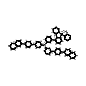 CC1(c2ccccc2)c2ccccc2-c2c(-c3cccc(N(c4ccc(-c5ccc(-c6ccc7ccccc7c6)cc5)cc4)c4cccc(-c5ccc(-c6ccc7ccccc7c6)cc5)c4)c3)cccc21